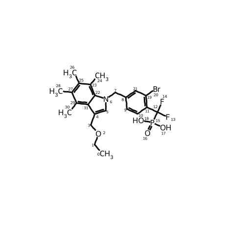 CCOCc1cn(Cc2ccc(C(F)(F)P(=O)(O)O)c(Br)c2)c2c(C)c(C)c(C)c(C)c12